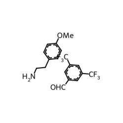 COc1ccc(CCN)cc1.O=Cc1cc(C(F)(F)F)cc(C(F)(F)F)c1